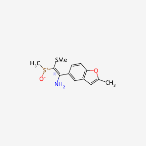 CS/C(=C(/N)c1ccc2oc(C)cc2c1)[S+](C)[O-]